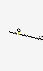 CCCCCC[S+](CCCCCCCCCCCCCC1CCCCO1)C1CCCC1